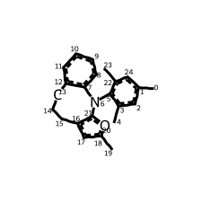 Cc1cc(C)c(N2c3ccccc3CCCc3cc(C)oc32)c(C)c1